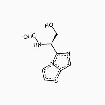 O=CN[C@@H](CO)c1ncc2sccn12